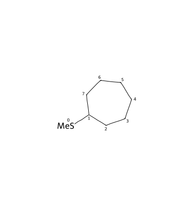 CSC1CCCCCC1